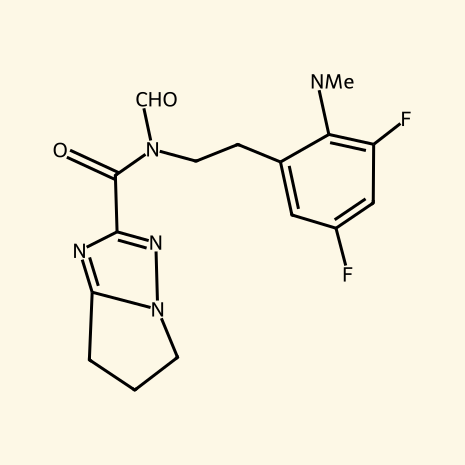 CNc1c(F)cc(F)cc1CCN(C=O)C(=O)c1nc2n(n1)CCC2